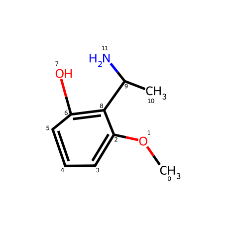 COc1cccc(O)c1C(C)N